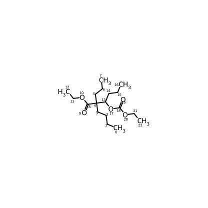 CCCCC(CCC)(C(=O)OCC)C(CCC)OC(=O)OCC